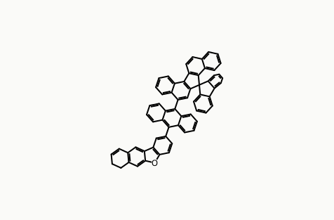 C1=Cc2cc3c(cc2CC1)oc1ccc(-c2c4ccccc4c(-c4cc5c(c6ccccc46)-c4ccc6ccccc6c4C54c5ccccc5-c5ccccc54)c4ccccc24)cc13